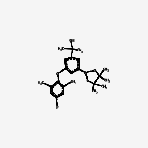 Cc1cc(F)cc(C)c1Oc1cc(B2OC(C)(C)C(C)(C)O2)cc(C(C)(C)O)c1